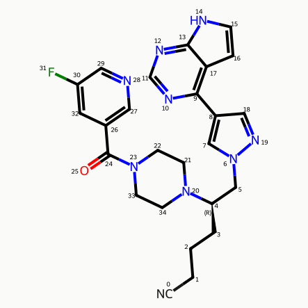 N#CCCC[C@H](Cn1cc(-c2ncnc3[nH]ccc23)cn1)N1CCN(C(=O)c2cncc(F)c2)CC1